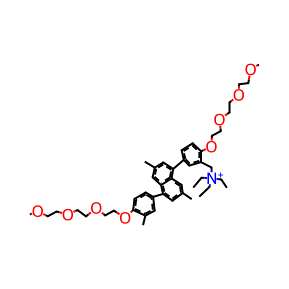 CC[N+](CC)(CC)Cc1cc(-c2cc(C)cc3c(-c4ccc(OCCOCCOCCOC)c(C)c4)cc(C)cc23)ccc1OCCOCCOCCOC